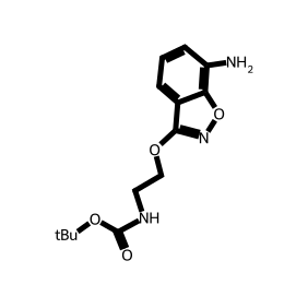 CC(C)(C)OC(=O)NCCOc1noc2c(N)cccc12